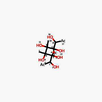 CC(=O)C(O)C(C)(O)C(C)(O)C(C)(O)C(O)(C(C)=O)C(O)C(C)=O